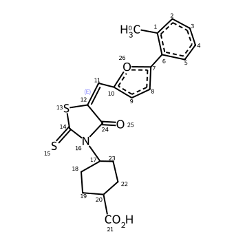 Cc1ccccc1-c1ccc(/C=C2/SC(=S)N(C3CCC(C(=O)O)CC3)C2=O)o1